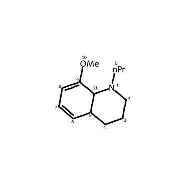 CCCN1CCCC2C=CC=C(OC)C21